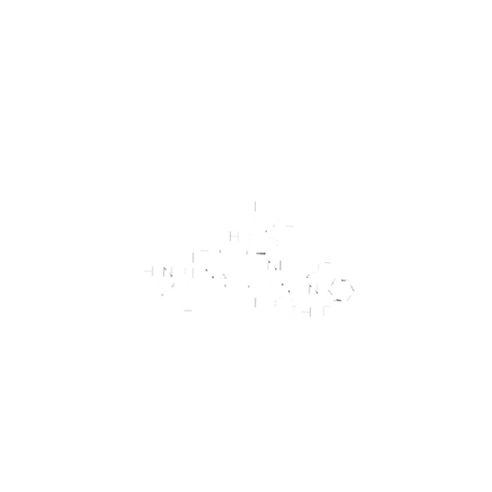 C[C@H](C[C@H](O)[C@H](CN1CC(=O)N(c2c(F)cccc2F)CC1(C)C)NC(=O)OC(C)(C)C)C(=O)NCC(C)(C)C(N)=O